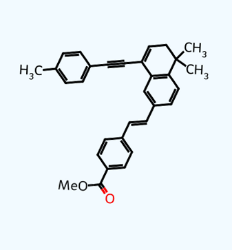 COC(=O)c1ccc(C=Cc2ccc3c(c2)C(C#Cc2ccc(C)cc2)=CCC3(C)C)cc1